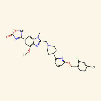 CCOc1cc(-c2nc(=O)o[nH]2)cc2c1nc(CN1CCC(c3cccc(OCc4ccc(C#N)cc4F)n3)CC1)n2C